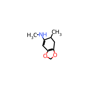 CNC1=CC2=C(CC1C)OCO2